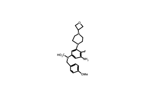 COc1ccc(CN(C(=O)O)c2cc(N)c(F)c(N3CCN(C4COC4)CC3)c2)cc1